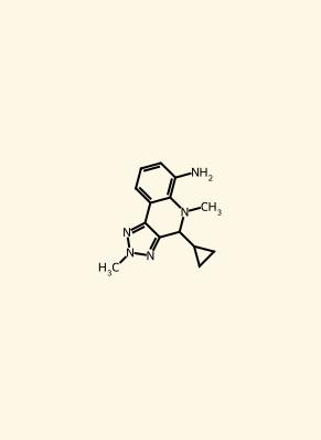 CN1c2c(N)cccc2-c2nn(C)nc2C1C1CC1